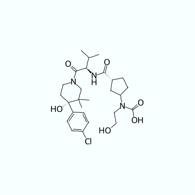 CC(C)[C@@H](NC(=O)[C@@H]1CCC(N(CCO)C(=O)O)C1)C(=O)N1CC[C@](O)(c2ccc(Cl)cc2)C(C)(C)C1